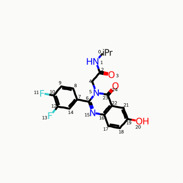 CC(C)NC(=O)Cn1c(-c2ccc(F)c(F)c2)nc2ccc(O)cc2c1=O